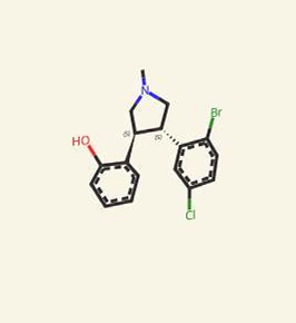 CN1C[C@H](c2ccccc2O)[C@@H](c2cc(Cl)ccc2Br)C1